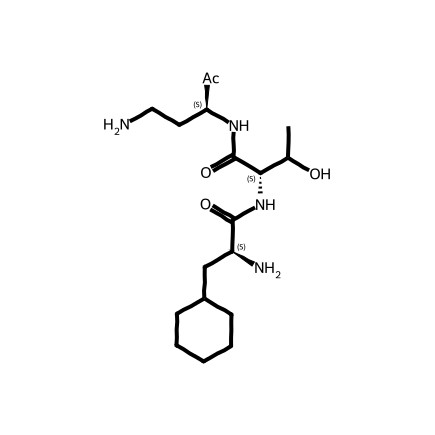 CC(=O)[C@H](CCN)NC(=O)[C@@H](NC(=O)[C@@H](N)CC1CCCCC1)C(C)O